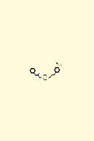 C/C(=C\c1ccccc1)C(=O)N1CCN(CCC(=O)c2ccc3[nH]c(=O)oc3c2)CC1